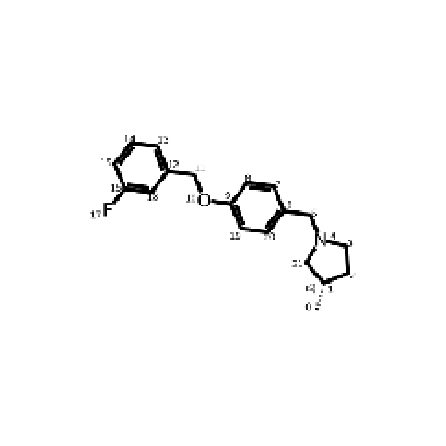 C[C@H]1CCN(Cc2ccc(OCc3cccc(F)c3)cc2)C1